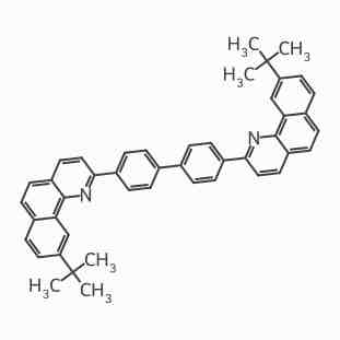 CC(C)(C)c1ccc2ccc3ccc(-c4ccc(-c5ccc(-c6ccc7ccc8ccc(C(C)(C)C)cc8c7n6)cc5)cc4)nc3c2c1